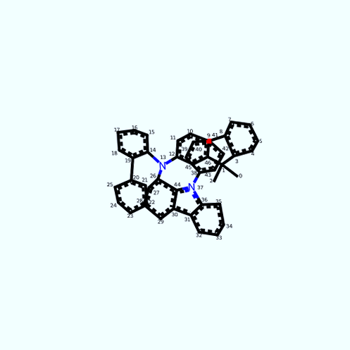 CC1(C)c2ccccc2-c2ccc(N(c3ccccc3-c3ccccc3)c3cccc4c5ccccc5n(-c5ccccc5)c34)cc21